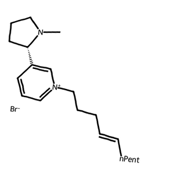 CCCCCC=CCCC[n+]1cccc([C@@H]2CCCN2C)c1.[Br-]